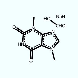 Cn1cnc2c1c(=O)[nH]c(=O)n2C.O=CO.[NaH]